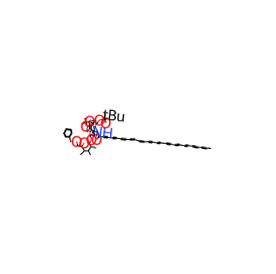 CC#CC#CC#CC#CC#CC#CC#CC#CC#CC#CC#CC#CC(=O)N[C@@H](COC1OC(COCc2ccccc2)C(C)C(C)C1C)[C@@H]1OC(C)(C)O[C@@H]1COC(=O)C(C)(C)C